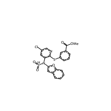 COC(=O)c1cccc(Sc2ncc(Cl)cc2N(c2cc3ccccc3o2)[SH](=O)=O)c1